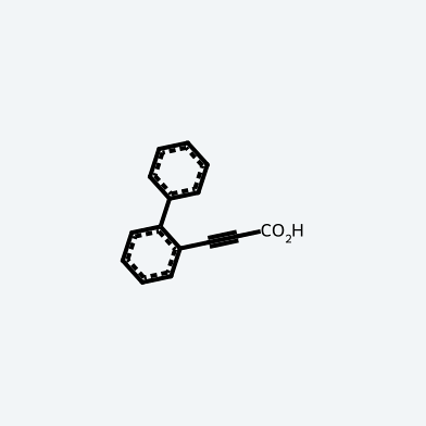 O=C(O)C#Cc1ccccc1-c1ccccc1